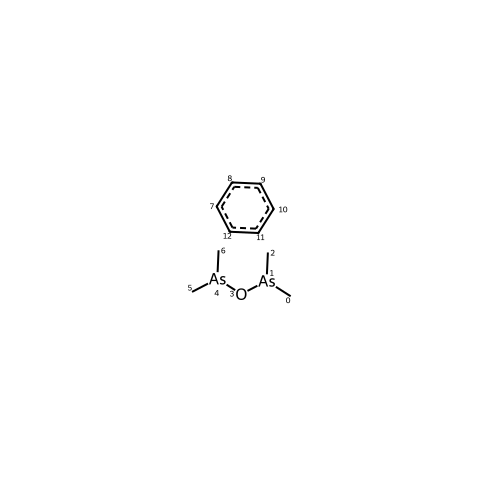 C[As](C)O[As](C)C.c1ccccc1